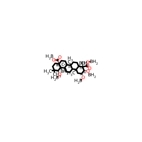 BOC(=O)[C@]12CCC(C)(C)[C@@H](OB)[C@@]1(B)C1=CCC3[C@@]4(C)C[C@@H](OB)[C@H](OB)[C@@](C)(C(=O)OB)[C@]4(B)CC[C@@]3(C)[C@]1(C)CC2